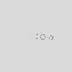 O=C(O)[C@@H]1C[C@@H](S(=O)(=O)c2ccc(-n3cccn3)cc2Cl)CN1